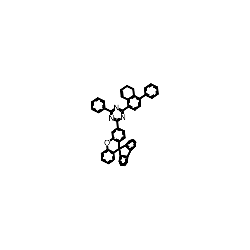 C1=Cc2c(-c3nc(-c4ccccc4)nc(-c4ccc5c(c4)Oc4ccccc4C54c5ccccc5-c5ccccc54)n3)ccc(-c3ccccc3)c2CC1